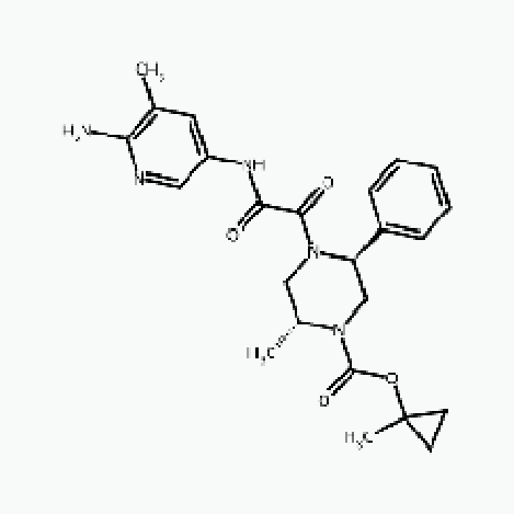 Cc1cc(NC(=O)C(=O)N2C[C@@H](C)N(C(=O)OC3(C)CC3)C[C@@H]2c2ccccc2)cnc1N